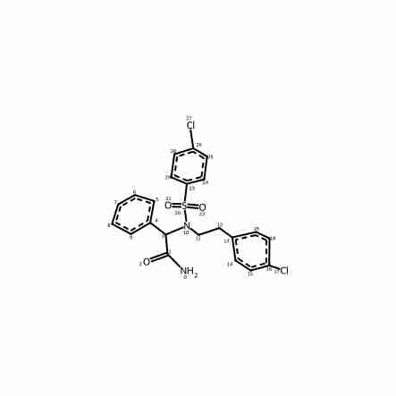 NC(=O)C(c1ccccc1)N(CCc1ccc(Cl)cc1)S(=O)(=O)c1ccc(Cl)cc1